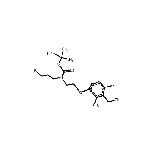 Cc1c(OCCN(CCCF)C(=O)OC(C)(C)C)ccc(F)c1CO